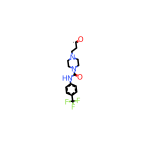 O=[C]CCN1CCN(C(=O)Nc2ccc(C(F)(F)F)cc2)CC1